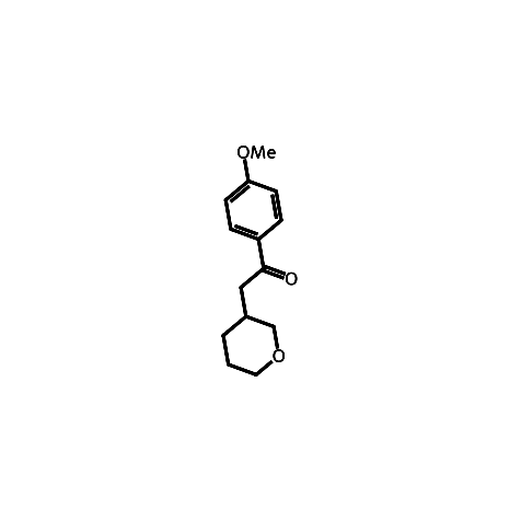 COc1ccc(C(=O)CC2CCCOC2)cc1